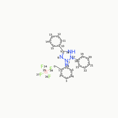 Cc1ccccc1[NH+]1N=C(c2ccccc2)NN1c1ccccc1.F[B-](F)(F)F